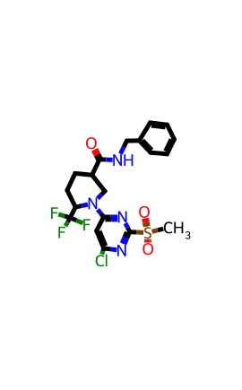 CS(=O)(=O)c1nc(Cl)cc(N2CC(C(=O)NCc3ccccc3)CCC2C(F)(F)F)n1